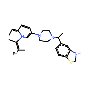 C/C=C1/C=CC(N2CCN(C(C)c3ccc4c(c3)NCS4)CC2)=CN1/C(C)=C(\C)CC